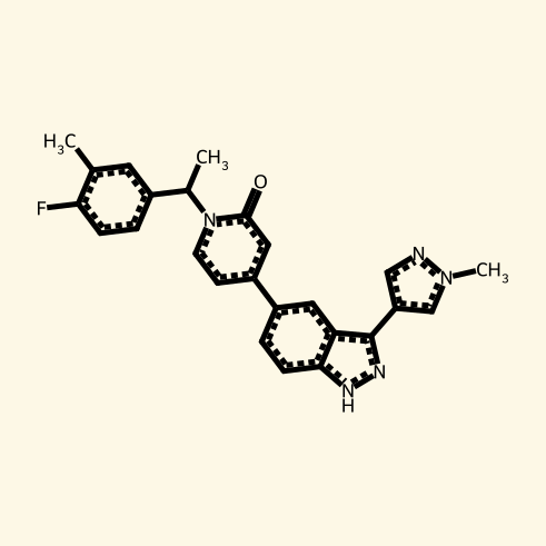 Cc1cc(C(C)n2ccc(-c3ccc4[nH]nc(-c5cnn(C)c5)c4c3)cc2=O)ccc1F